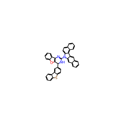 c1ccc2cc3c(cc2c1)c1c2ccccc2ccc1n3C1=Nc2c(oc3ccccc23)C(c2ccc3sc4ccccc4c3c2)N1